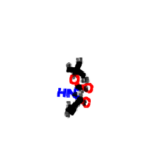 C#CC(=O)NC(=O)OC(C)(C)C